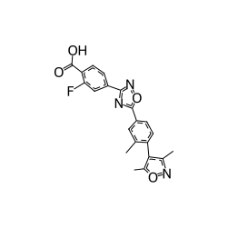 Cc1cc(-c2nc(-c3ccc(C(=O)O)c(F)c3)no2)ccc1-c1c(C)noc1C